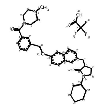 CN1CCN(C(=O)c2cccc(COc3ccc4cc(CC5CCN(C6CCCCC6)C5=O)ccc4c3)c2)CC1.O=C(O)C(F)(F)F